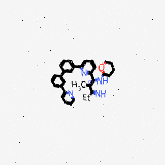 CCC(=N)/C(C)=C(\NC1CCCCO1)c1cccc(-c2cccc(-c3cccc(-c4ccccn4)c3)c2)n1